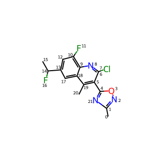 Cc1noc(-c2c(Cl)nc3c(F)cc(C(C)F)cc3c2C)n1